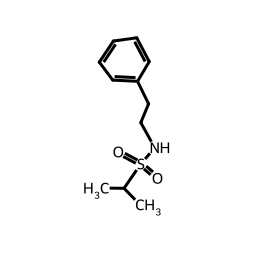 CC(C)S(=O)(=O)NCCc1ccccc1